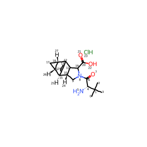 CC(C)(C)[C@H](N)C(=O)N1C[C@H]2C(C3C=C[C@@H]2[C@@H]2C[C@H]32)C1C(=O)O.Cl